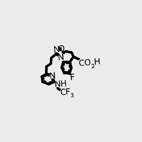 O=C(O)CC(Cc1nc(CCCc2cccc(NCC(F)(F)F)n2)no1)c1cccc(F)c1